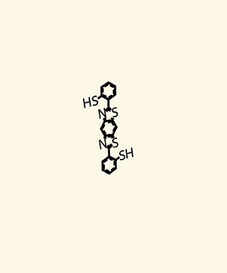 Sc1ccccc1-c1nc2cc3nc(-c4ccccc4S)sc3cc2s1